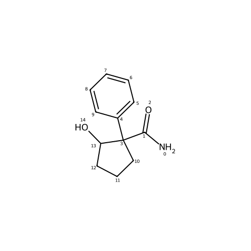 NC(=O)C1(c2ccccc2)CCCC1O